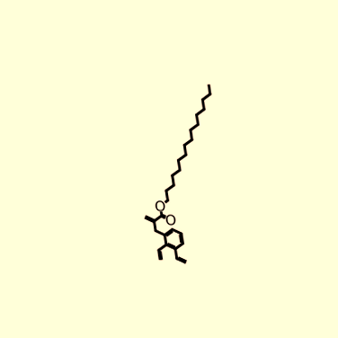 C=Cc1cccc(CC(=C)C(=O)OCCCCCCCCCCCCCCCC)c1C=C